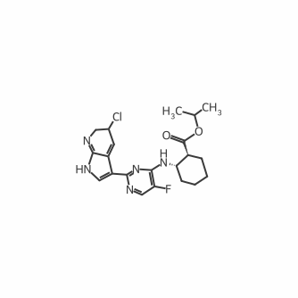 CC(C)OC(=O)[C@H]1CCCC[C@@H]1Nc1nc(-c2c[nH]c3c2=CC(Cl)CN=3)ncc1F